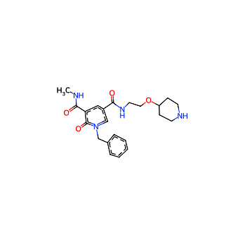 CNC(=O)c1cc(C(=O)NCCOC2CCNCC2)cn(Cc2ccccc2)c1=O